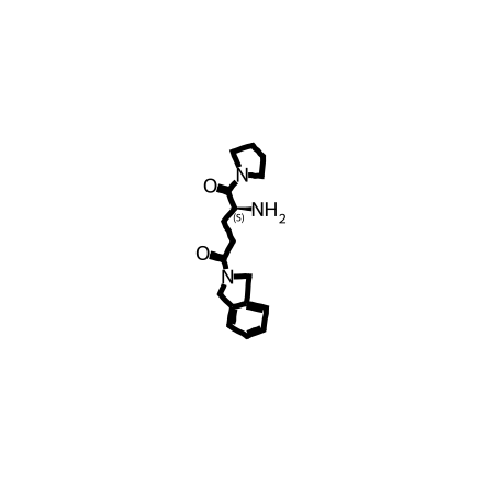 N[C@@H](CCC(=O)N1Cc2ccccc2C1)C(=O)N1CCCC1